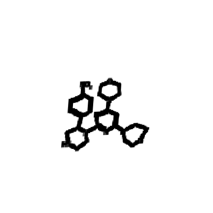 O=[N+]([O-])c1ccc(C2CNCCN2c2nc(N3CCOCC3)cc(N3CCOCC3)n2)cc1